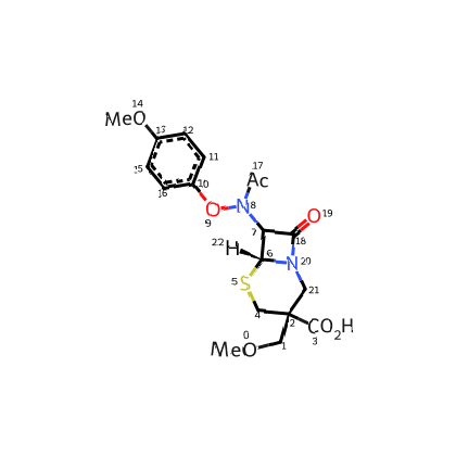 COCC1(C(=O)O)CS[C@@H]2C(N(Oc3ccc(OC)cc3)C(C)=O)C(=O)N2C1